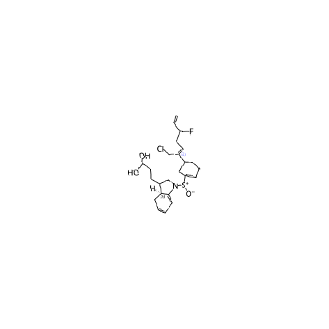 C=CC(F)C/C=C(\CCl)C1CCC=C([S+]([O-])N2CC(CCC(O)O)[C@@H]3CC=CC=C32)C1